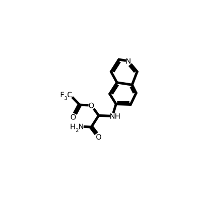 NC(=O)C(Nc1ccc2cnccc2c1)OC(=O)C(F)(F)F